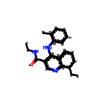 CCNC(=O)c1cnc2c(CC)cccc2c1Nc1ccccc1C